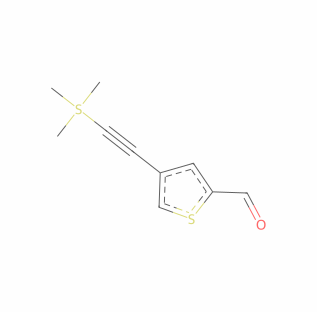 CS(C)(C)C#Cc1csc(C=O)c1